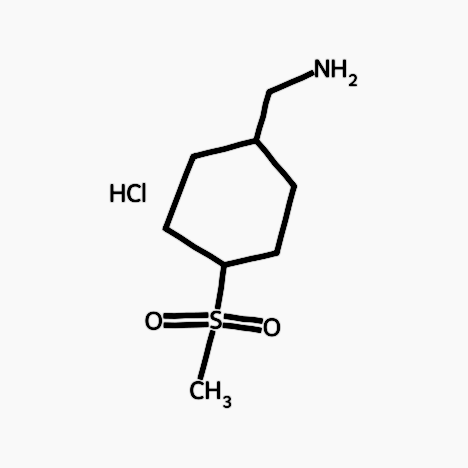 CS(=O)(=O)C1CCC(CN)CC1.Cl